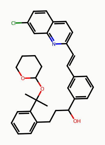 CC(C)(OC1CCCCO1)c1ccccc1CCC(O)c1cccc(/C=C/c2ccc3ccc(Cl)cc3n2)c1